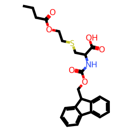 CCCC(=O)OCCSCC(NC(=O)OCC1c2ccccc2-c2ccccc21)C(=O)O